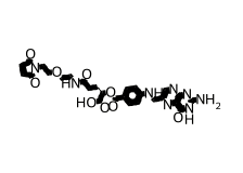 Nc1nc2ncc(CNc3ccc(C(=O)O[C@@H](CCC(=O)NCCOCCN4C(=O)C=CC4=O)C(=O)O)cc3)nc2c(=O)[nH]1